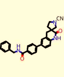 N#CN1CCC2(Cc3cc(-c4ccc(C(=O)NCc5ccccc5)cc4)ccc3NC2=O)C1